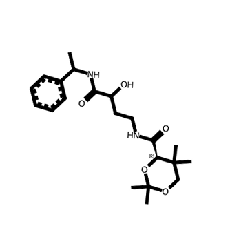 CC(NC(=O)C(O)CCNC(=O)[C@@H]1OC(C)(C)OCC1(C)C)c1ccccc1